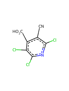 N#Cc1c(Cl)nc(Cl)c(Cl)c1C(=O)O